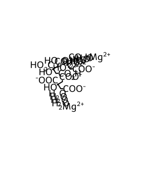 O.O.O.O.O.O.O.O.O.O=C(O)CC(O)(CC(=O)O)C(=O)O.O=C([O-])CC(O)(CC(=O)O)C(=O)O.O=C([O-])CC(O)(CC(=O)[O-])C(=O)[O-].[Mg+2].[Mg+2]